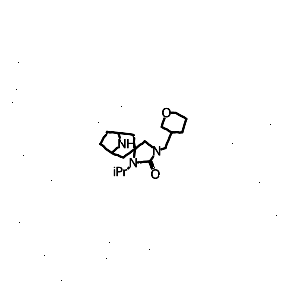 CC(C)N1C(=O)N(CC2CCCOC2)CC12CC1CCC(C2)N1